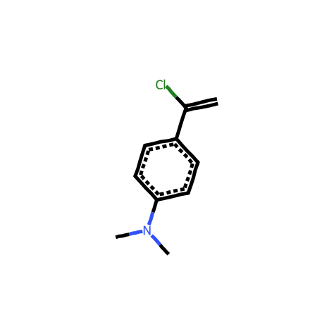 C=C(Cl)c1ccc(N(C)C)cc1